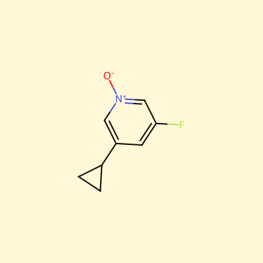 [O-][n+]1cc(F)cc(C2CC2)c1